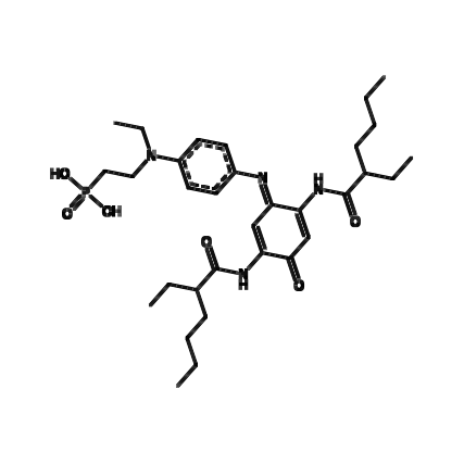 CCCCC(CC)C(=O)NC1=C/C(=N\c2ccc(N(CC)CCP(=O)(O)O)cc2)C(NC(=O)C(CC)CCCC)=CC1=O